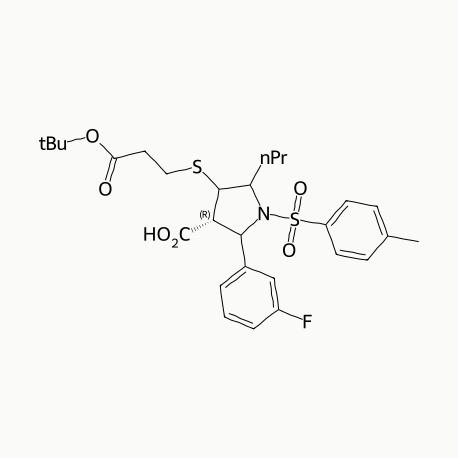 CCCC1C(SCCC(=O)OC(C)(C)C)[C@@H](C(=O)O)C(c2cccc(F)c2)N1S(=O)(=O)c1ccc(C)cc1